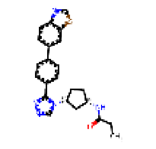 CCC(=O)N[C@H]1CC[C@@H](n2cnnc2-c2ccc(-c3ccc4ncsc4c3)cc2)C1